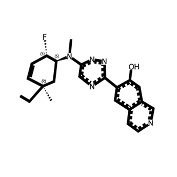 CC[C@@]1(C)C=C[C@H](F)[C@@H](N(C)c2cnc(-c3cc4ccncc4cc3O)nn2)C1